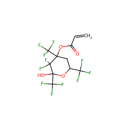 C=CC(=O)OC1(C(F)(F)F)CC(C(F)(F)F)OC(O)(C(F)(F)F)C1(F)F